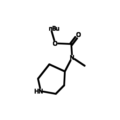 CCCCOC(=O)N(C)C1CCNCC1